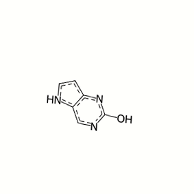 Oc1ncc2[nH]ccc2n1